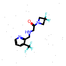 O=C(CNCc1ncccc1C(F)(F)F)N1CC(F)(F)C1